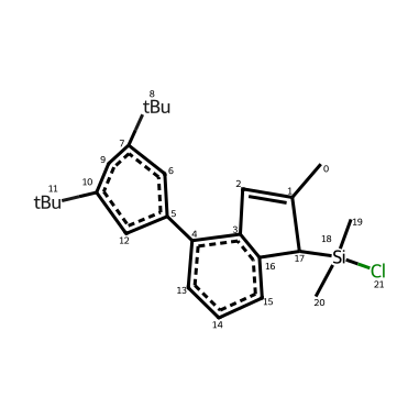 CC1=Cc2c(-c3cc(C(C)(C)C)cc(C(C)(C)C)c3)cccc2C1[Si](C)(C)Cl